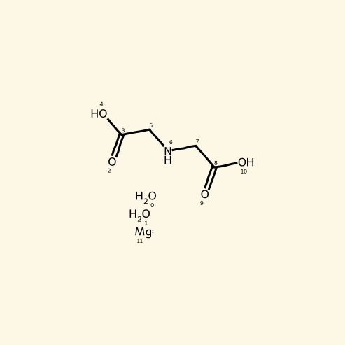 O.O.O=C(O)CNCC(=O)O.[Mg]